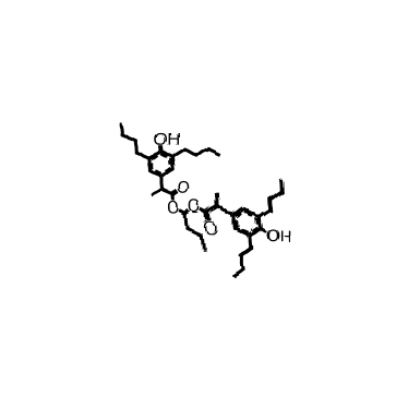 CCCCc1cc(C(C)C(=O)OC(CCC)OC(=O)C(C)c2cc(CCCC)c(O)c(CCCC)c2)cc(CCCC)c1O